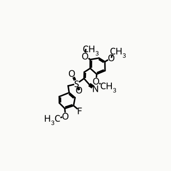 COc1cc(OC)c(C=C(C#N)S(=O)(=O)Cc2ccc(OC)c(F)c2)c(OC)c1